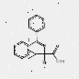 [2H]C(N=C(c1ccccc1)c1ccccc1)(C(=O)OC)C1CC1